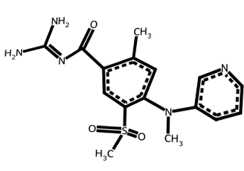 Cc1cc(N(C)c2cccnc2)c(S(C)(=O)=O)cc1C(=O)N=C(N)N